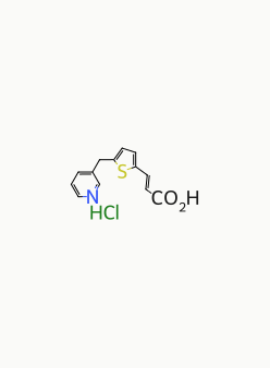 Cl.O=C(O)C=Cc1ccc(Cc2cccnc2)s1